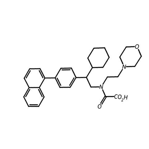 O=C(O)C(=O)N(CCN1CCOCC1)CC(c1ccc(-c2cccc3ccccc23)cc1)C1CCCCC1